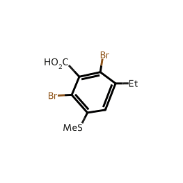 CCc1cc(SC)c(Br)c(C(=O)O)c1Br